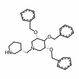 c1ccc(COC2[C@@H](OCc3ccccc3)CN(C[C@H]3CCCNC3)C[C@H]2OCc2ccccc2)cc1